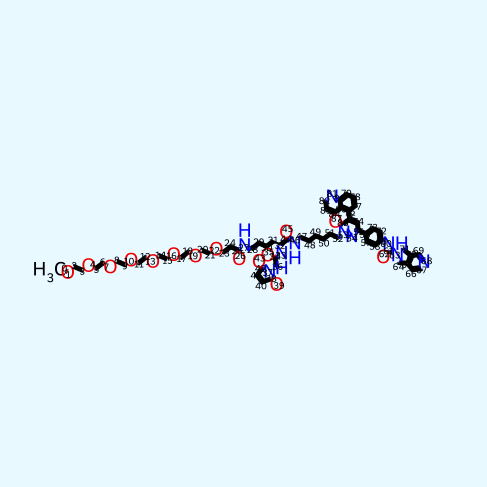 COCCOCCOCCOCCOCCOCCOCCOCCC(=O)NCCCC[C@H](NC(=O)CN1C(=O)C=CC1=O)C(=O)NCCCCCCn1nc(-c2ccc(NC(=O)N3Cc4ccncc4C3)cc2)cc(-c2cccc3ncccc23)c1=O